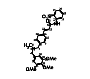 COc1cc(CN(C)Cc2ccc(C=CC(=O)Nc3ccccc3[N+](=O)[O-])cc2)cc(OC)c1OC